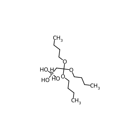 CCCCOC(C[PH](O)(O)O)(OCCCC)OCCCC